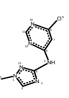 Cn1cnc(Nc2cc(Cl)ncn2)n1